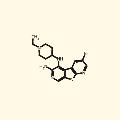 CCN1CCC(Nc2c(N)ncc3[nH]c4ncc(Br)cc4c23)CC1